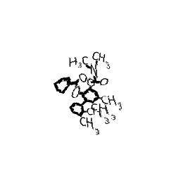 CCN(CC)C(=O)Oc1cc(C)c(C)c(-c2cccc(C)c2C)c1OC(=O)c1ccccc1